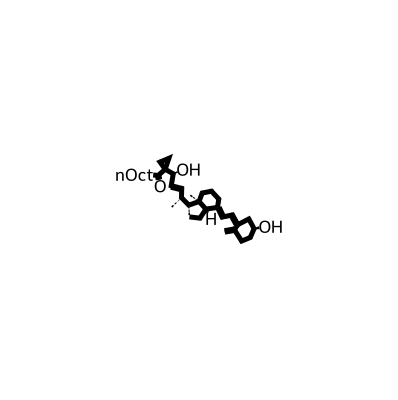 C=C1CC[C@H](O)C/C1=C/C=C1\CCC[C@]2(C)[C@@H]([C@H](C)/C=C/[C@@H](O)C3(C(=O)CCCCCCCC)CC3)CC[C@@H]12